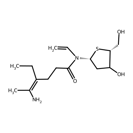 C=CN(C(=O)CC/C(CC)=C(/C)N)[C@H]1CC(O)[C@@H](CO)S1